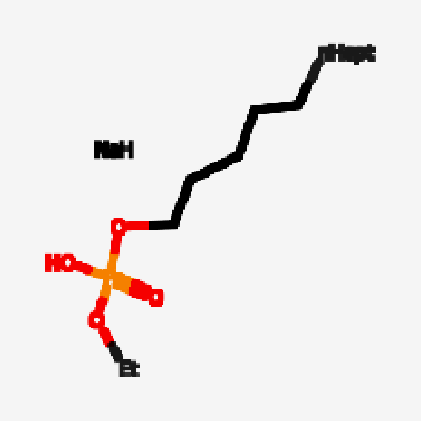 CCCCCCCCCCCCOP(=O)(O)OCC.[NaH]